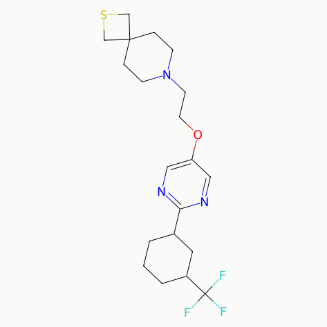 FC(F)(F)C1CCCC(c2ncc(OCCN3CCC4(CC3)CSC4)cn2)C1